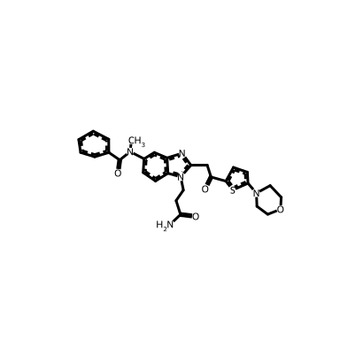 CN(C(=O)c1ccccc1)c1ccc2c(c1)nc(CC(=O)c1ccc(N3CCOCC3)s1)n2CCC(N)=O